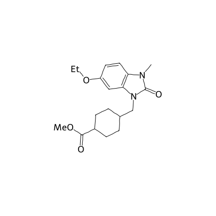 CCOc1ccc2c(c1)n(CC1CCC(C(=O)OC)CC1)c(=O)n2C